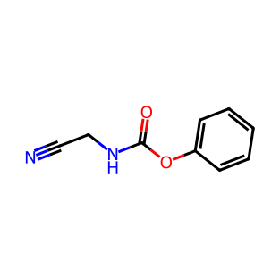 N#CCNC(=O)Oc1ccccc1